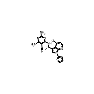 C[C@H](Nc1nc(N)nc(N)c1C#N)c1cn(-c2cccs2)c2nccc(Cl)c12